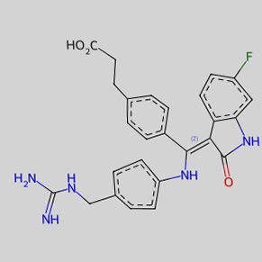 N=C(N)NCc1ccc(N/C(=C2\C(=O)Nc3cc(F)ccc32)c2ccc(CCC(=O)O)cc2)cc1